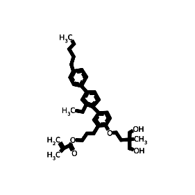 C=C(C)C(=O)OCCCc1cc(-c2ccc(-c3ccc(CCCCC)cc3)cc2CC)ccc1OCCC(C)(CO)CO